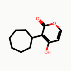 O=c1occc(O)c1C1CCCCCC1